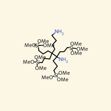 CO[Si](CCCC(N)(CCC[Si](OC)(OC)OC)C(CCCCN)(CCC[Si](OC)(OC)OC)CCC[Si](OC)(OC)OC)(OC)OC